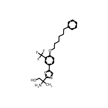 CC(N)(CO)c1ncc(-c2ccc(OCCCCCCc3ccccc3)c(C(F)(F)F)c2)s1